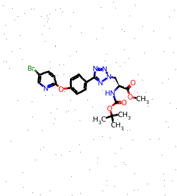 COC(=O)[C@H](Cn1nnc(-c2ccc(Oc3ccc(Br)cn3)cc2)n1)NC(=O)OC(C)(C)C